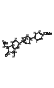 COc1ccc(N2CC3CCC2C=C3c2ccc3c(n2)n(C)c(=O)n3CC(C)(C)C)cc1